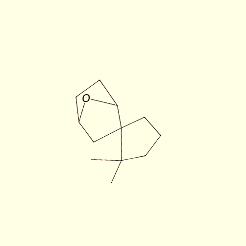 CC1(C)CCCC12CC1CCC2O1